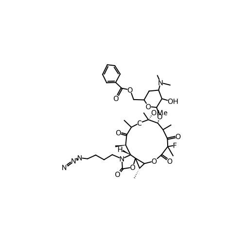 CO[C@@]1(C)CC(C)C(=O)[C@H](C)[C@H]2N(CCCCN=[N+]=[N-])C(=O)OC23C(OC(=O)C(C)(F)C(=O)C(C)[C@H]1OC1OC(COC(=O)c2ccccc2)CC(N(C)C)C1O)[C@@H]3C